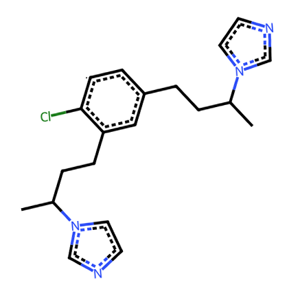 CC(CCc1c[c]c(Cl)c(CCC(C)n2ccnc2)c1)n1ccnc1